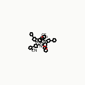 N#Cc1ccccc1-c1ccc(-c2nc(-c3ccccc3)nc(-c3ccc(C(F)(F)F)cc3-n3c4ccc(-c5ccccc5)cc4c4cc(-c5ccccc5)ccc43)n2)c(-n2c3ccc(-c4ccccc4)cc3c3cc(-c4ccccc4)ccc32)c1